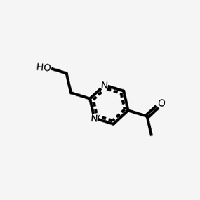 CC(=O)c1cnc(CCO)nc1